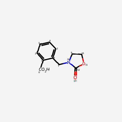 O=C(O)c1ccccc1CN1CCOC1=O